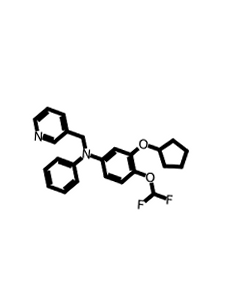 FC(F)Oc1ccc(N(Cc2cccnc2)c2ccccc2)cc1OC1CCCC1